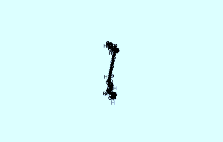 O=C(CCOCCOCCOCCOCCNc1cccc2c1C(=O)N(C1CCC(=O)NC1=O)C2=O)NCCS(=O)(=O)N1CCC(Nc2ncc(Br)c(Nc3cccc4c3C(=O)NC4)n2)CC1